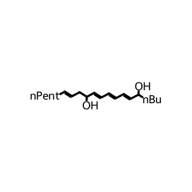 CCCCCC=CCC(O)C=CC=CC=CC(O)CCCC